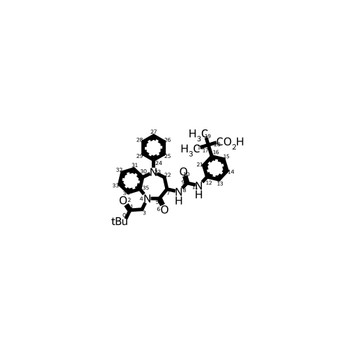 CC(C)(C)C(=O)CN1C(=O)C(NC(=O)Nc2cccc(C(C)(C)C(=O)O)c2)CN(c2ccccc2)c2ccccc21